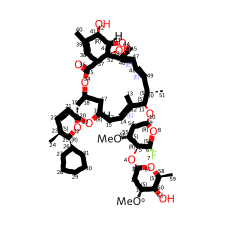 CO[C@H]1C[C@H](O[C@H]2[C@H](F)O[C@@H](O[C@@H]3/C(C)=C/C[C@@H]4CC(C[C@]5(C=C[C@H](C)[C@@H](C6CCCCC6)O5)O4)OC(=O)C4C=C(C)[C@@H](O)[C@H]5OC/C(=C\C=C\[C@@H]3C)[C@@]45O)C[C@@H]2OC)O[C@@H](C)C1O